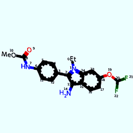 CCn1c(-c2ccc(NC(=O)OC)cc2)c(N)c2ccc(OC(F)F)cc21